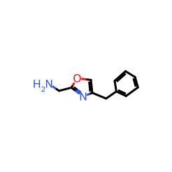 NCc1nc(Cc2ccccc2)co1